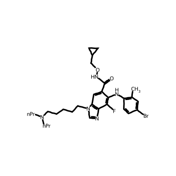 CCCN(CCC)CCCCCn1cnc2c(F)c(Nc3ccc(Br)cc3C)c(C(=O)NOCC3CC3)cc21